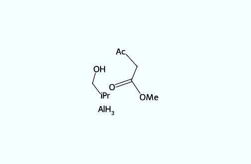 CC(C)CO.COC(=O)CC(C)=O.[AlH3]